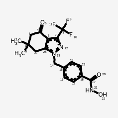 CC1(C)CC(=O)c2c(C(F)(F)F)nn(Cc3ccc(C(=O)NO)cc3)c2C1